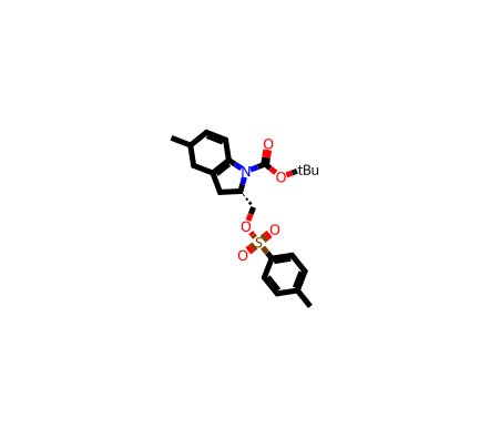 Cc1ccc(S(=O)(=O)OC[C@@H]2CC3=C(C=CC(C)C3)N2C(=O)OC(C)(C)C)cc1